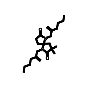 C=C(CCCC)CN1C(=O)CCC12CC(C)(C)C(=O)N2CC(=C)CCCC